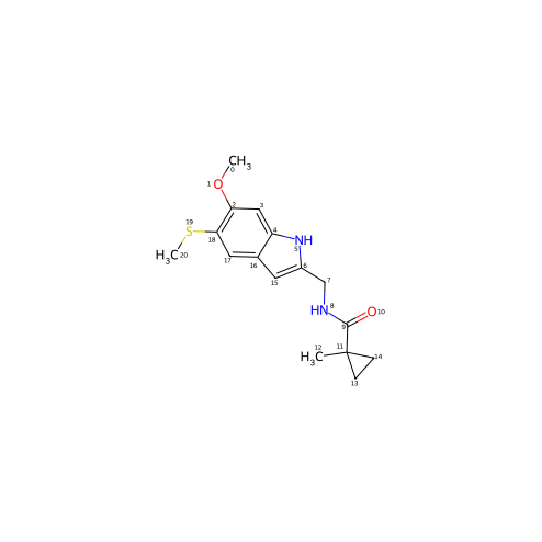 COc1cc2[nH]c(CNC(=O)C3(C)CC3)cc2cc1SC